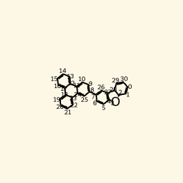 C1=CC2Oc3ccc(-c4ccc5c6ccccc6c6ccccc6c5c4)cc3C2C=C1